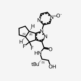 CC(C)(C)[C@@H](CO)NC(=O)c1nn(-c2c[n+]([O-])ccn2)c2c1C(F)(F)[C@H]1CCC[C@@H]21